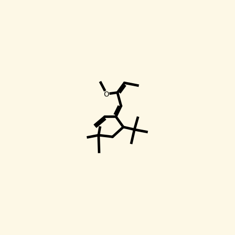 C=C/C(=C\C(=C/C)OC)C(CC(C)(C)C)C(C)(C)C